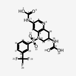 O=C(O)Nc1cnc2c(c1)N(S(=O)(=O)c1cccc(C(F)(F)F)c1)CC(NC(=O)O)C2